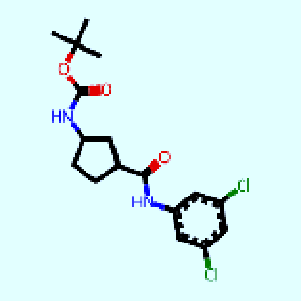 CC(C)(C)OC(=O)NC1CCC(C(=O)Nc2cc(Cl)cc(Cl)c2)C1